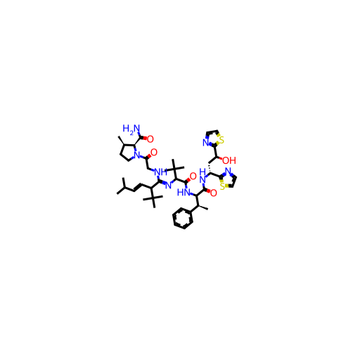 CC(C)/C=C/C(/C(=N/C(C(=O)NC(C(=O)N[C@H](CC(O)c1nccs1)c1nccs1)[C@@H](C)c1ccccc1)C(C)(C)C)NCC(=O)N1CC[C@@H](C)[C@H]1C(N)=O)C(C)(C)C